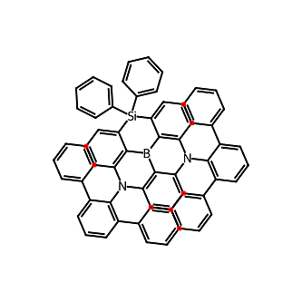 c1ccc(-c2cccc(-c3ccccc3)c2N2c3cccc4c3B3c5c2cccc5[Si](c2ccccc2)(c2ccccc2)c2cccc(c23)N4c2c(-c3ccccc3)cccc2-c2ccccc2)cc1